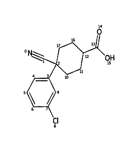 N#CC1(c2cccc(Cl)c2)CCC(C(=O)O)CC1